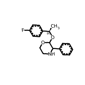 C[C@@H](OC1OCCNC1c1ccccc1)c1ccc(F)cc1